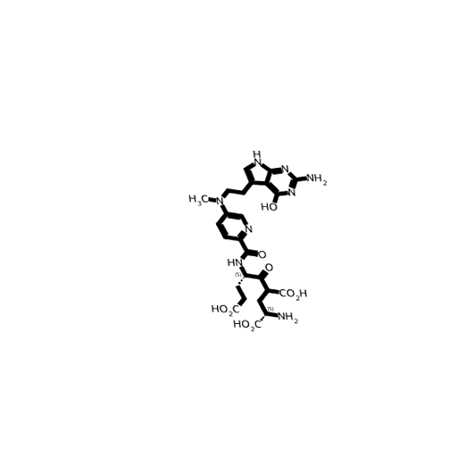 CN(CCc1c[nH]c2nc(N)nc(O)c12)c1ccc(C(=O)N[C@@H](CCC(=O)O)C(=O)C(C[C@H](N)C(=O)O)C(=O)O)nc1